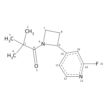 CC(C)(C)C(=O)N1CCC1c1ccnc(F)c1